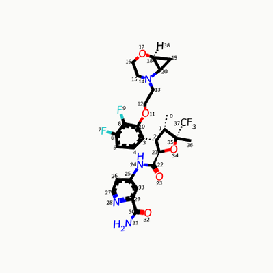 C[C@H]1[C@@H](c2ccc(F)c(F)c2OCCN2CCO[C@H]3CC32)[C@H](C(=O)Nc2ccnc(C(N)=O)c2)O[C@@]1(C)C(F)(F)F